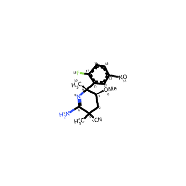 CO[C@H]1CC(C)(C#N)C(N)=N[C@]1(C)c1cc(N=O)ccc1F